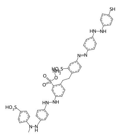 CN(Nc1ccc(NNc2ccc(CCc3ccc(N=Nc4ccc(NNc5ccc(S)cc5)cc4)cc3S(=O)(=O)O)c(S(=O)(=O)ON)c2)cc1)c1ccc(S(=O)(=O)O)cc1